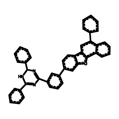 c1ccc(C2=NC(c3cccc(-c4ccc5c(c4)oc4c6ccccc6c(-c6ccccc6)cc54)c3)=NC(c3ccccc3)N2)cc1